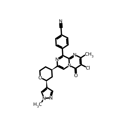 Cc1nc2c(-c3ccc(C#N)cc3)nc([C@@H]3CCO[C@H](c4cnn(C)c4)C3)cn2c(=O)c1Cl